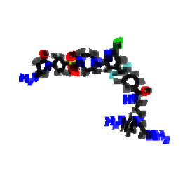 C[N+](CCN)(CCN)CCCNC(=O)[C@H]1CC[C@H](C(F)(F)c2cc(Cl)nc(N3CCN(S(=O)(=O)c4ccc(N5C[C@H](N)CC5=O)cc4)CC3)c2)CC1